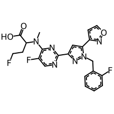 CN(c1nc(-c2cc(-c3ccon3)n(Cc3ccccc3F)n2)ncc1F)C(CCF)C(=O)O